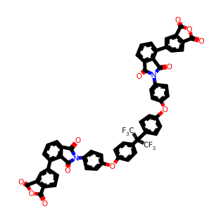 O=C1OC(=O)c2cc(-c3cccc4c3C(=O)N(c3ccc(Oc5ccc(C(c6ccc(Oc7ccc(N8C(=O)c9cccc(-c%10ccc%11c(c%10)C(=O)OC%11=O)c9C8=O)cc7)cc6)(C(F)(F)F)C(F)(F)F)cc5)cc3)C4=O)ccc21